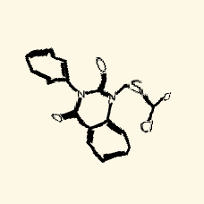 O=c1c2ccccc2n(SC(Cl)Cl)c(=O)n1-c1ccccc1